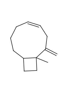 C=C1CC=CCCCC2CCC12C